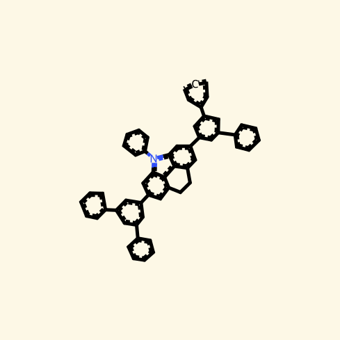 c1ccc(-c2cc(-c3ccccc3)cc(-c3cc4c5c6c(cc(-c7cc(-c8ccccc8)cc(-c8ccccc8)c7)cc6n(-c6ccccc6)c5c3)CC4)c2)cc1